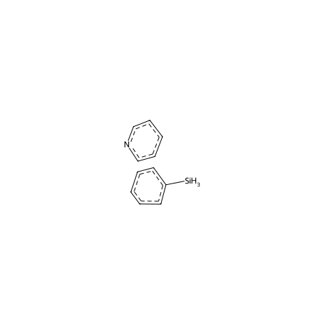 [SiH3]c1ccccc1.c1ccncc1